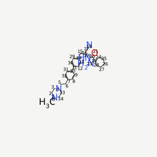 CN1CCN(CCc2ccc(-c3ccc(C[C@@H](C#N)NC(=O)C4(N)CCCCC4)cc3)cc2)CC1